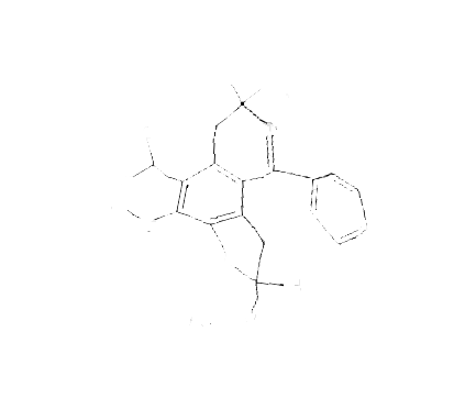 COc1c2c(c3c(c1C(C)C)CC(C)(C)N=C3c1ccccc1)CC(C)(C)O2.Cl